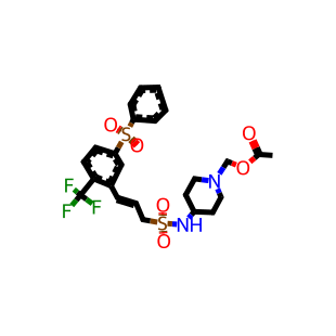 CC(=O)OCN1CCC(NS(=O)(=O)CC=Cc2cc(S(=O)(=O)c3ccccc3)ccc2C(F)(F)F)CC1